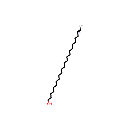 CC/C=C/CCCCCCCCCCCCCCCCCCCCCCO